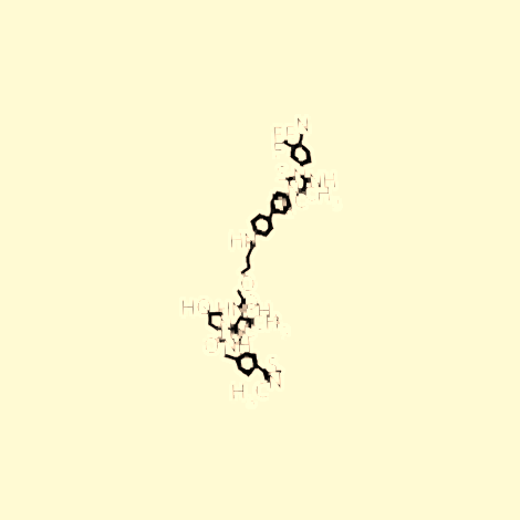 Cc1ncsc1-c1ccc(CNC(=O)[C@@H]2C[C@@H](O)CN2C(=O)[C@@H](NC(=O)COCCCCNc2ccc(-c3ccc(N4C(=S)N(c5ccc(C#N)c(C(F)(F)F)c5)C(=N)C4(C)C)cc3)cc2)C(C)(C)C)cc1